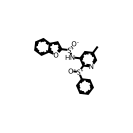 Cc1cnc([S+]([O-])c2ccccc2)c(N[S+]([O-])c2cc3ccccc3o2)c1